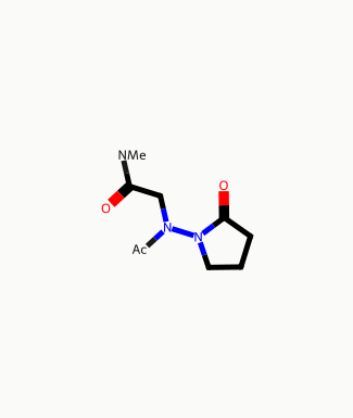 CNC(=O)CN(C(C)=O)N1CCCC1=O